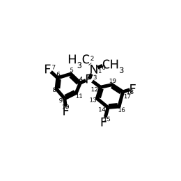 CN(C)P(c1cc(F)cc(F)c1)c1cc(F)cc(F)c1